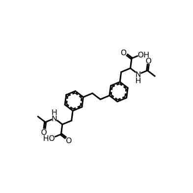 CC(=O)NC(Cc1cccc(CCc2cccc(CC(NC(C)=O)C(=O)O)c2)c1)C(=O)O